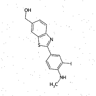 CNc1ccc(-c2nc3ccc(CO)cc3s2)cc1I